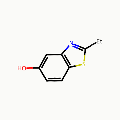 CCc1nc2cc(O)ccc2s1